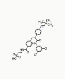 CC(C)(C)/C=C/c1ccc(C(Cc2ccc(C(=O)NCCS(=O)(=O)O)cc2)C(=O)Nc2cc(Cl)cc(Cl)c2)cc1